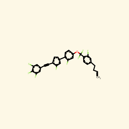 C=CCCc1ccc(C(F)(F)Oc2ccc(-c3ccc(C#Cc4cc(F)c(F)c(F)c4)c(F)c3)c(F)c2)c(F)c1